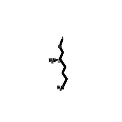 NCCC[C@H](N)COI